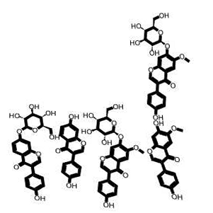 COc1cc2c(=O)c(-c3ccc(O)cc3)coc2cc1O.COc1cc2c(=O)c(-c3ccc(O)cc3)coc2cc1O[C@@H]1O[C@H](CO)[C@@H](O)[C@H](O)[C@H]1O.COc1cc2c(=O)c(-c3ccc(O)cc3)coc2cc1O[C@@H]1O[C@H](CO)[C@@H](O)[C@H](O)[C@H]1O.O=c1c(-c2ccc(O)cc2)coc2cc(O)ccc12.O=c1c(-c2ccc(O)cc2)coc2cc(OC3O[C@H](CO)[C@@H](O)[C@H](O)[C@H]3O)ccc12